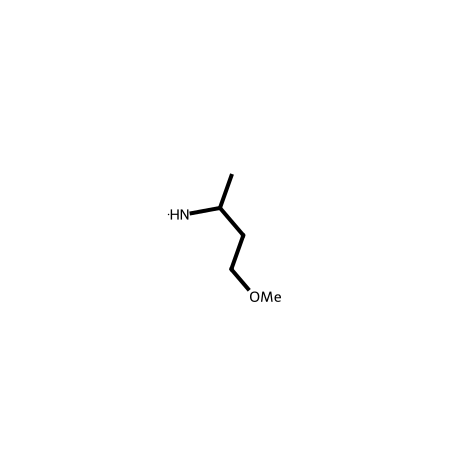 COCCC(C)[NH]